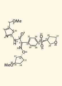 COCc1cnc(NC(=O)/C(=N/O[C@@H]2CC[C@@H](OC)C2)c2ccc(S(=O)(=O)[C@H]3CCOC3)cc2)s1